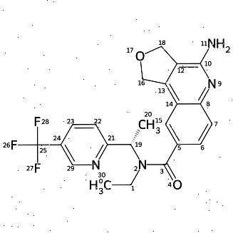 CCN(C(=O)c1ccc2nc(N)c3c(c2c1)COC3)[C@@H](C)c1ccc(C(F)(F)F)cn1